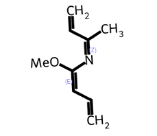 C=C/C=C(\N=C(\C)C=C)OC